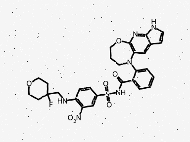 O=C(NS(=O)(=O)c1ccc(NCC2(F)CCOCC2)c([N+](=O)[O-])c1)c1ccccc1N1CCCOc2nc3[nH]ccc3cc21